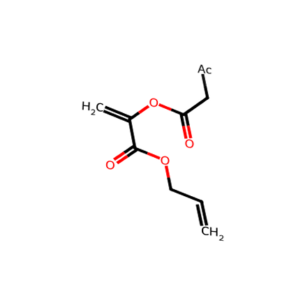 C=CCOC(=O)C(=C)OC(=O)CC(C)=O